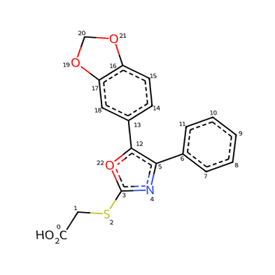 O=C(O)CSc1nc(-c2ccccc2)c(-c2ccc3c(c2)OCO3)o1